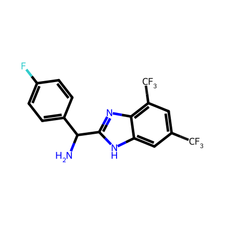 NC(c1ccc(F)cc1)c1nc2c(C(F)(F)F)cc(C(F)(F)F)cc2[nH]1